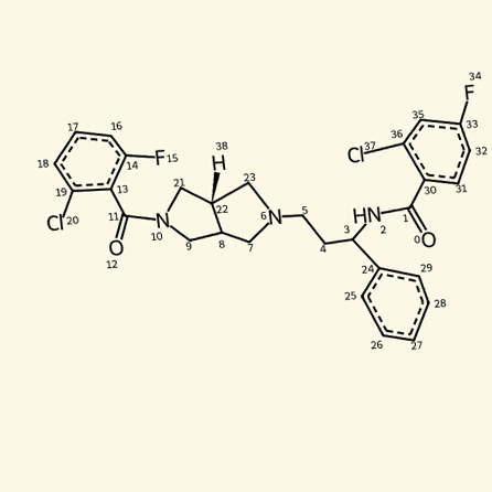 O=C(NC(CCN1CC2CN(C(=O)c3c(F)cccc3Cl)C[C@@H]2C1)c1ccccc1)c1ccc(F)cc1Cl